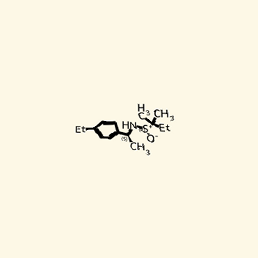 CCc1ccc([C@H](C)N[S@@+]([O-])C(C)(C)CC)cc1